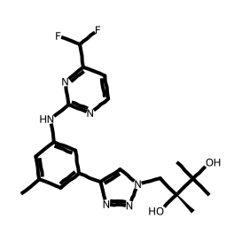 Cc1cc(Nc2nccc(C(F)F)n2)cc(-c2cn(C[C@@](C)(O)C(C)(C)O)nn2)c1